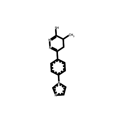 CC1CC(c2ccc(-n3ccnc3)cc2)=NN=C1S